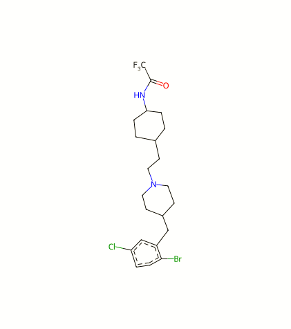 O=C(NC1CCC(CCN2CCC(Cc3cc(Cl)ccc3Br)CC2)CC1)C(F)(F)F